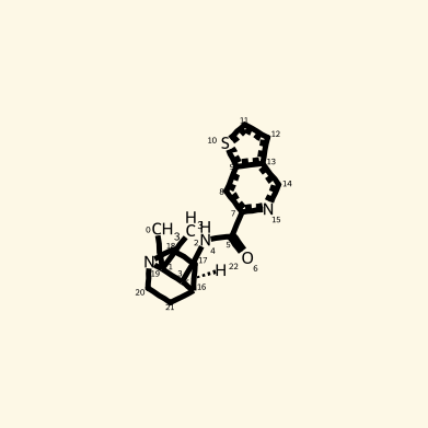 CC1(C)[C@@H](NC(=O)c2cc3sccc3cn2)C2CCN1CC2